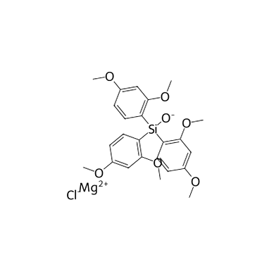 COc1ccc([Si]([O-])(c2ccc(OC)cc2OC)c2ccc(OC)cc2OC)c(OC)c1.[Cl-].[Mg+2]